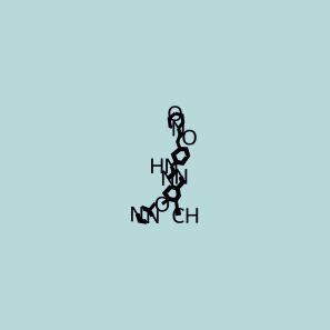 C#Cc1cc2cnc(Nc3cccc(CC(=O)N4CCOCC4)c3)nc2cc1OCc1cnccn1